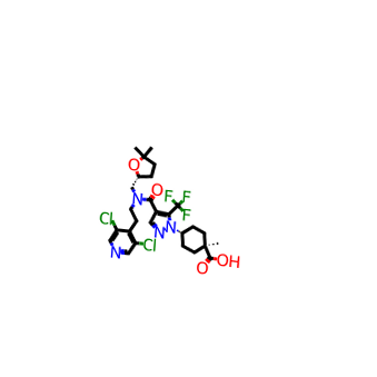 CC1(C)CC[C@H](CN(CCc2c(Cl)cncc2Cl)C(=O)c2cnn([C@H]3CC[C@](C)(C(=O)O)CC3)c2C(F)(F)F)O1